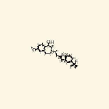 COc1ccc2c(c1)CCN(CCc1cc3cc(C(F)(F)F)ccc3o1)CC2O